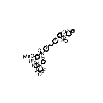 COc1cc(C(=O)NC2CCN(CCC3CCN(c4cccc5c4n(C)c(=O)n5C4CCC(=O)NC4=O)CC3)CC2)ccc1Nc1ncc2c(n1)N(C1CCCC1)CC(F)(F)C(=O)N2C